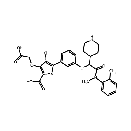 Cc1ccccc1N(C)C(=O)C(Oc1cccc(-c2sc(C(=O)O)c(OCC(=O)O)c2Cl)c1)C1CCNCC1